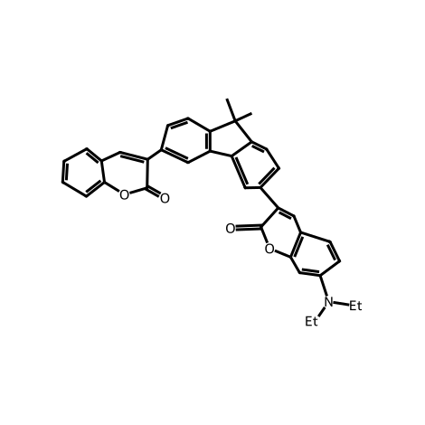 CCN(CC)c1ccc2cc(-c3ccc4c(c3)-c3cc(-c5cc6ccccc6oc5=O)ccc3C4(C)C)c(=O)oc2c1